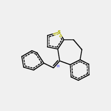 C(=C1\c2ccccc2CCc2sccc21)/c1ccccc1